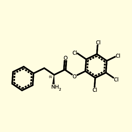 N[C@@H](Cc1ccccc1)C(=O)Oc1c(Cl)c(Cl)c(Cl)c(Cl)c1Cl